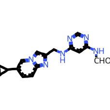 O=CNc1cc(NCc2cn3cc(C4CC4)ccc3n2)ncn1